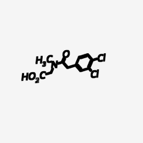 CN(CC(=O)O)C(=O)Cc1ccc(Cl)c(Cl)c1